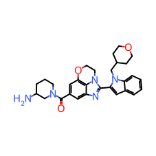 NC1CCCN(C(=O)c2cc3c4c(c2)nc(-c2cc5ccccc5n2CC2CCOCC2)n4CCO3)C1